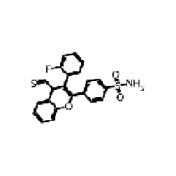 NS(=O)(=O)c1ccc(C2=C(c3ccccc3F)C(C=S)c3ccccc3O2)cc1